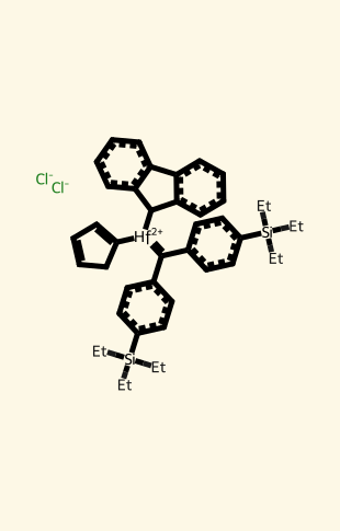 CC[Si](CC)(CC)c1ccc([C](c2ccc([Si](CC)(CC)CC)cc2)=[Hf+2]([C]2=CC=CC2)[CH]2c3ccccc3-c3ccccc32)cc1.[Cl-].[Cl-]